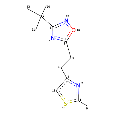 Cc1nc(CCc2nc(C(C)(C)C)no2)cs1